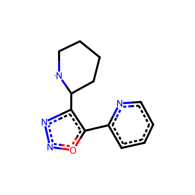 c1ccc(-c2onnc2C2CCCC[N]2)nc1